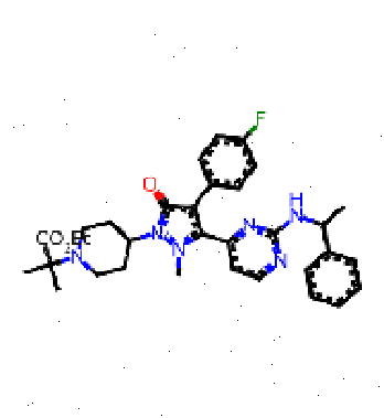 CCOC(=O)C(C)(C)N1CCC(n2c(=O)c(-c3ccc(F)cc3)c(-c3ccnc(NC(C)c4ccccc4)n3)n2C)CC1